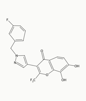 O=c1c(-c2cnn(Cc3cccc(F)c3)c2)c(C(F)(F)F)oc2c(O)c(O)ccc12